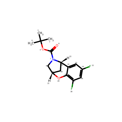 CC(C)(C)OC(=O)N1C[C@@H]2C[C@H]1c1cc(F)cc(F)c1O2